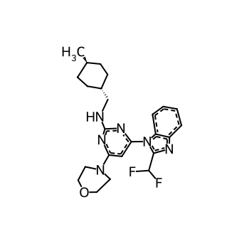 C[C@H]1CC[C@H](CNc2nc(N3CCOCC3)cc(-n3c(C(F)F)nc4ccccc43)n2)CC1